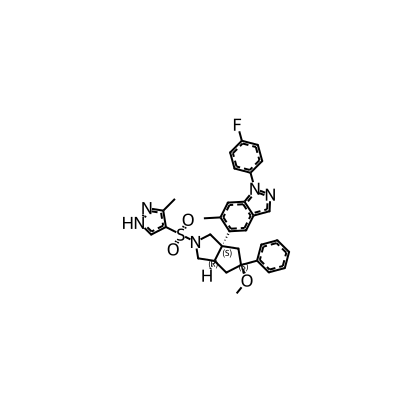 CO[C@@]1(c2ccccc2)C[C@H]2CN(S(=O)(=O)c3c[nH]nc3C)C[C@@]2(c2cc3cnn(-c4ccc(F)cc4)c3cc2C)C1